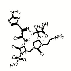 CC(C)(ON=C(C(=O)N[C@@H]1C(=O)N(S(=O)(=O)O)[C@@H]1CN1CCN(CCN)C1=O)c1csc(N)n1)C(=O)O